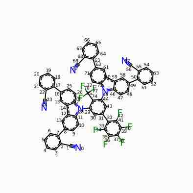 N#Cc1ccccc1-c1ccc2c(c1)c1cc(-c3ccccc3C#N)ccc1n2-c1cc(-c2c(F)c(F)c(F)c(F)c2F)cc(-n2c3ccc(-c4ccccc4C#N)cc3c3cc(-c4ccccc4C#N)ccc32)c1C(F)(F)F